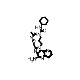 CC(C)=NOCc1nc2c(N)nc3cccnc3c2n1CCCNC(=O)NC1CCCCC1